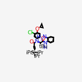 CC(C)[Si](C#CC(=O)N(c1ccc(OC2CC2)c(Cl)c1)C(C(=O)Nc1ccccc1N)C(C)(C)C)(C(C)C)C(C)C